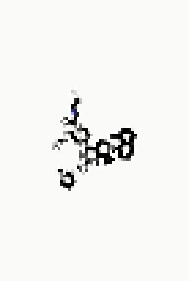 Cc1cccc2cccc(N3CCc4c(N5CCN(C(=O)/C=C/CF)[C@@H](CC#N)C5)nc(OC[C@@H]5CCCN5C)nc4C34CC4)c12